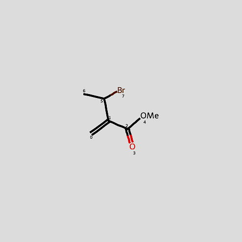 C=C(C(=O)OC)C(C)Br